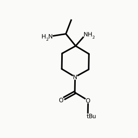 CC(N)C1(N)CCN(C(=O)OC(C)(C)C)CC1